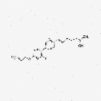 C=CCOc1ccc(-c2ccc(C=CCCCC(C)O)nc2)c(F)c1F